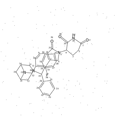 O=C1CCC(N2Cc3c(ccc(CN4C5CC4CN(C(c4ccccc4)c4ccccc4)C5)c3F)C2=O)C(=O)N1